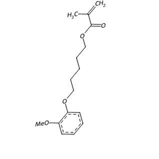 C=C(C)C(=O)OCCCCCOc1ccccc1OC